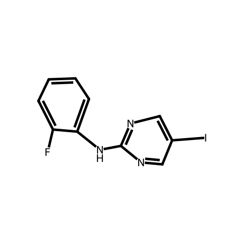 Fc1ccccc1Nc1ncc(I)cn1